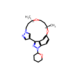 C[C@@H]1CCO[C@@H](C)CCn2cc(cn2)-c2nn(C3CCCCO3)c3ccc(cc23)O1